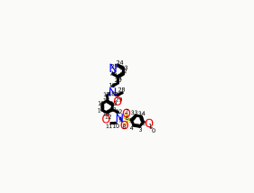 COc1ccc(S(=O)(=O)N2CCOc3ccc(CN(CCc4cccnc4)C(C)=O)cc3C2)cc1